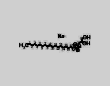 CCCCCCCCC=CCCCCCCCCOS(=O)(=O)OCC(O)CO.[Na]